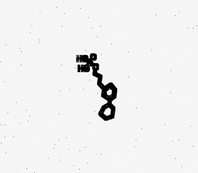 O=P(O)(O)OCCCc1cccc(C2CCCCC2)c1